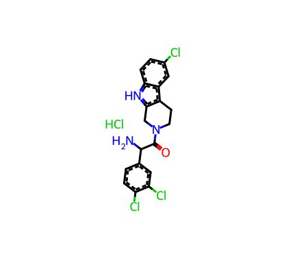 Cl.NC(C(=O)N1CCc2c([nH]c3ccc(Cl)cc23)C1)c1ccc(Cl)c(Cl)c1